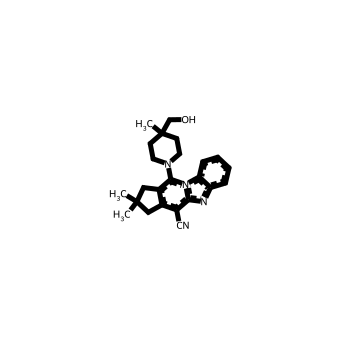 CC1(C)Cc2c(c(N3CCC(C)(CO)CC3)n3c(nc4ccccc43)c2C#N)C1